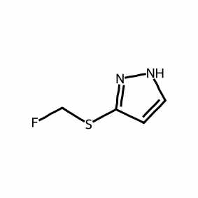 FCSc1cc[nH]n1